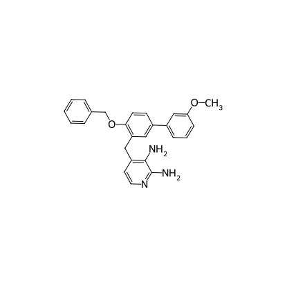 COc1cccc(-c2ccc(OCc3ccccc3)c(Cc3ccnc(N)c3N)c2)c1